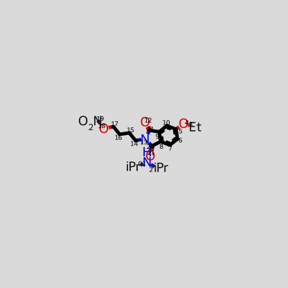 CC(C)NC(C)C.CCOc1ccc2c(c1)C(=O)N(CCCCO[N+](=O)[O-])C2=O